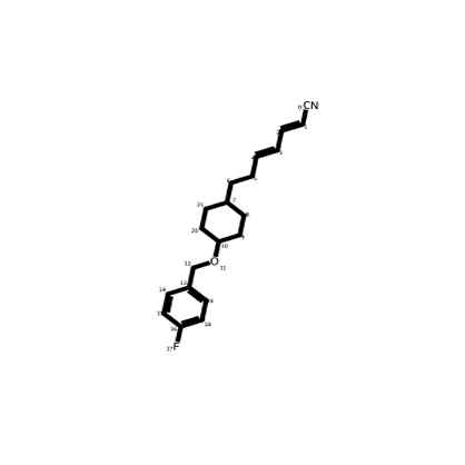 N#CC=CC=CCCC1CCC(OCc2ccc(F)cc2)CC1